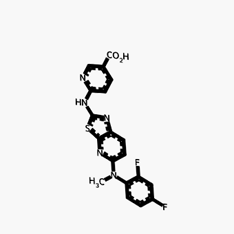 CN(c1ccc2nc(Nc3ccc(C(=O)O)cn3)sc2n1)c1ccc(F)cc1F